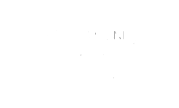 NC(=O)C12CC3CC(C1)CC(c1ccccc1)(C3)C2